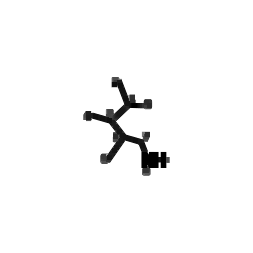 CC(C)C(C)C(C)C[NH]